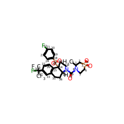 CC1CS(=O)(=O)CCN1C(=O)N1CC[C@@]2(S(=O)(=O)c3ccc(F)cc3)c3ccc(C(F)(C(F)(F)F)C(F)(F)F)cc3CC[C@@H]12